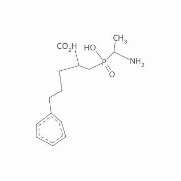 CC(N)P(=O)(O)CC(CCCc1ccccc1)C(=O)O